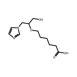 O=C(O)CCCCCOC(CO)Cn1ccnc1